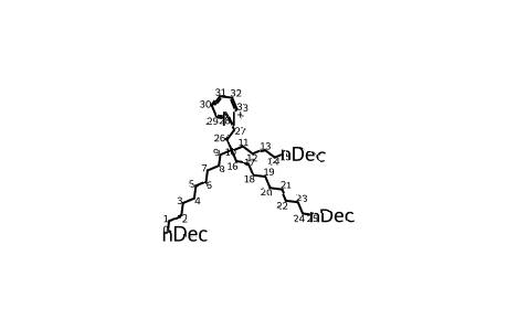 CCCCCCCCCCCCCCCCCCCC(CCCCCCCCCCCCCC)(CCCCCCCCCCCCCCCCCCC)CC[n+]1ccccc1